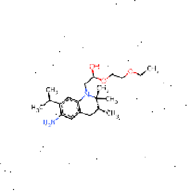 CCOCCOC(O)CN1c2cc(C(C)C)c(N)cc2CC(C)C1(C)C